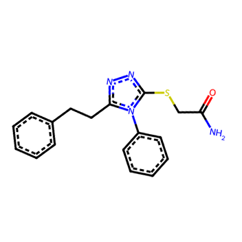 NC(=O)CSc1nnc(CCc2ccccc2)n1-c1ccccc1